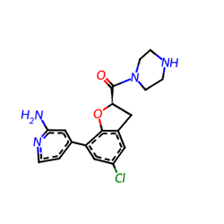 Nc1cc(-c2cc(Cl)cc3c2O[C@@H](C(=O)N2CCNCC2)C3)ccn1